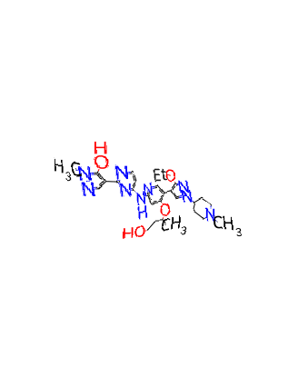 CCOc1nn(C2CCN(C)CC2)cc1-c1cnc(Nc2ccnc(-c3cnn(C)c3O)n2)cc1OC(C)CCO